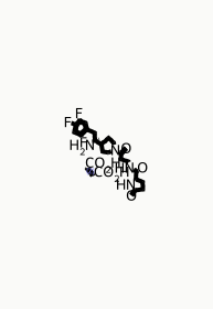 N[C@H](Cc1cc(F)c(F)cc1F)C1CCN(C(=O)CCNC(=O)C2CCC(=O)N2)CC1.O=C(O)/C=C\C(=O)O